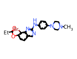 CCC(=O)Oc1ccc2cnc(Nc3ccc(N4CCN(C)CC4)cc3)nc2c1Br